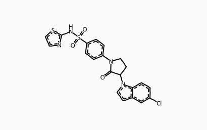 O=C1C(n2ccc3cc(Cl)ccc32)CCN1c1ccc(S(=O)(=O)Nc2nccs2)cc1